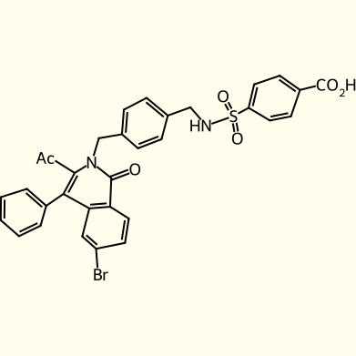 CC(=O)c1c(-c2ccccc2)c2cc(Br)ccc2c(=O)n1Cc1ccc(CNS(=O)(=O)c2ccc(C(=O)O)cc2)cc1